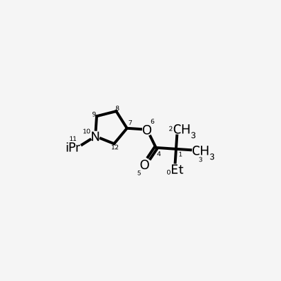 CCC(C)(C)C(=O)OC1CCN(C(C)C)C1